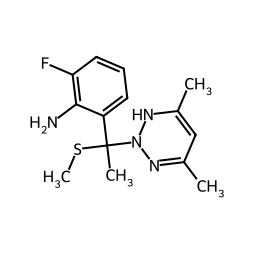 CSC(C)(c1cccc(F)c1N)N1N=C(C)C=C(C)N1